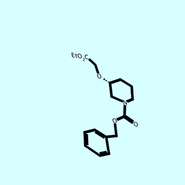 CCOC(=O)CO[C@@H]1CCCN(C(=O)OCc2ccccc2)C1